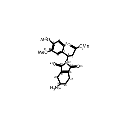 COC(=O)CC(c1ccc(OC)c(OC)c1)N1C(=O)C2=C(CC(N)CC2)C1=O